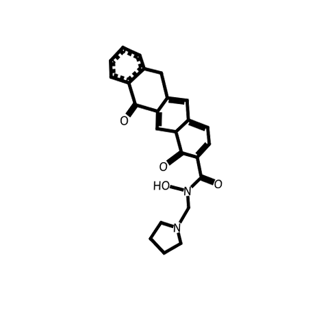 O=C1C2=CC3C(=O)C(C(=O)N(O)CN4CCCC4)=CC=C3C=C2Cc2ccccc21